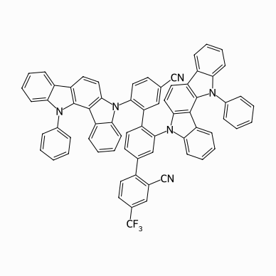 N#Cc1ccc(-n2c3ccccc3c3c2ccc2c4ccccc4n(-c4ccccc4)c23)c(-c2ccc(-c3ccc(C(F)(F)F)cc3C#N)cc2-n2c3ccccc3c3c2ccc2c4ccccc4n(-c4ccccc4)c23)c1